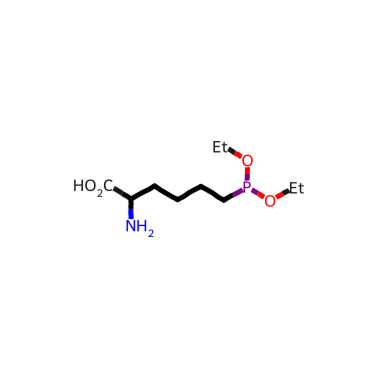 CCOP(CCCCC(N)C(=O)O)OCC